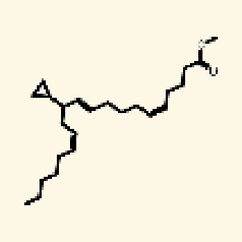 CCCCC/C=C\CC(/C=C/CCC/C=C\CCCC(=O)OC)C1CC1